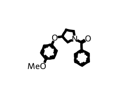 COc1ccc(OC2CCN(C(=O)c3ccccc3)C2)cc1